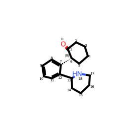 O=C1CCCC[C@@H]1c1ccccc1C1CCCCN1